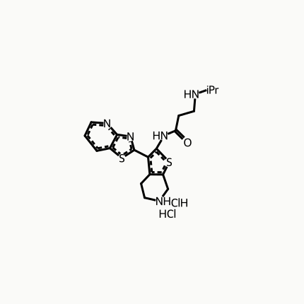 CC(C)NCCC(=O)Nc1sc2c(c1-c1nc3ncccc3s1)CCNC2.Cl.Cl